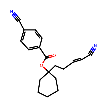 N#C/C=C/CCC1(OC(=O)c2ccc(C#N)cc2)CCCCC1